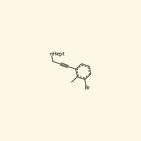 CCCCCCCCC#Cc1cccc(Br)c1C